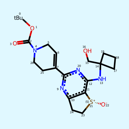 CC(C)(C)OC(=O)N1CC=C(c2nc3c(c(NC4(CO)CCC4)n2)[S@+]([O-])CC3)CC1